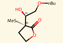 CCCCOC[C@H](O)[C@]1(SC)CCOC1=O